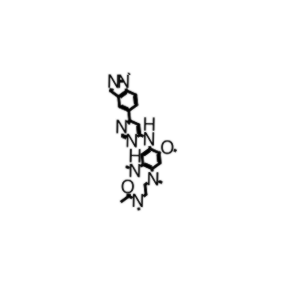 CNc1cc(Nc2cc(-c3ccc4c(cnn4C)c3)ncn2)c(OC)cc1N(C)CCN(C)C(C)=O